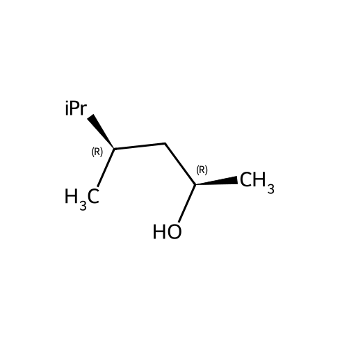 CC(C)[C@H](C)C[C@@H](C)O